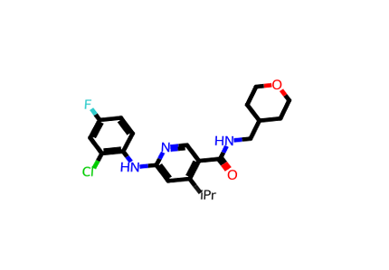 CC(C)c1cc(Nc2ccc(F)cc2Cl)ncc1C(=O)NCC1CCOCC1